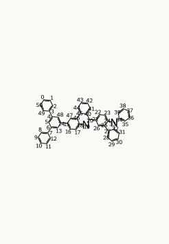 c1ccc(-c2cc(-c3ccccc3)cc(-c3ccc4nc(-c5ccc6c(c5)c5ccccc5n6-c5ccccc5)c5ccccc5c4c3)c2)cc1